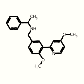 COc1ccnc(-c2cc(CN[C@H](C)c3ccccc3)ccc2OC)c1